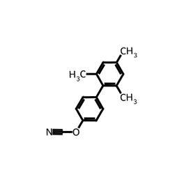 Cc1cc(C)c(-c2ccc(OC#N)cc2)c(C)c1